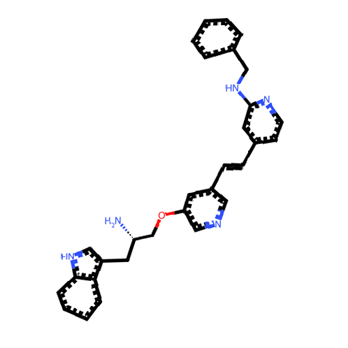 N[C@H](COc1cncc(C=Cc2ccnc(NCc3ccccc3)c2)c1)Cc1c[nH]c2ccccc12